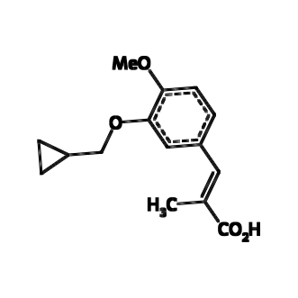 COc1ccc(/C=C(\C)C(=O)O)cc1OCC1CC1